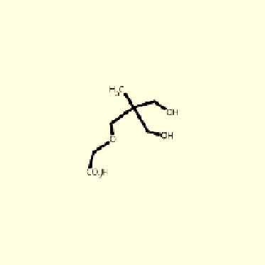 CC(CO)(CO)COCC(=O)O